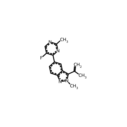 C=C(C)c1c2cc(-c3nc(C)ncc3F)ccc2nn1C